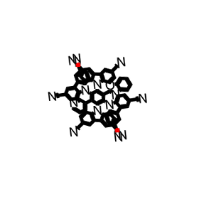 N#Cc1ccc2c(c1)c1cc(C#N)ccc1n2-c1c(-c2cccnc2)c(-n2c3ccc(C#N)cc3c3cc(C#N)ccc32)c(-n2c3ccc(C#N)cc3c3cc(C#N)ccc32)c(-c2nc3ccccc3o2)c1-n1c2ccc(C#N)cc2c2cc(C#N)ccc21